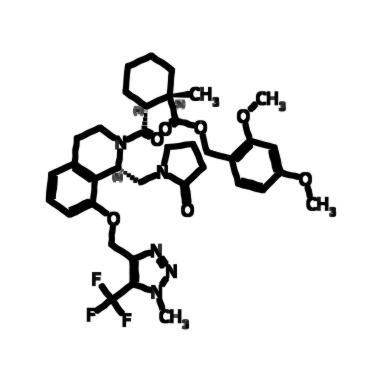 COc1ccc(COC(=O)[C@@]2(C)CCCC[C@H]2C(=O)N2CCc3cccc(OCc4nnn(C)c4C(F)(F)F)c3[C@H]2CN2CCCC2=O)c(OC)c1